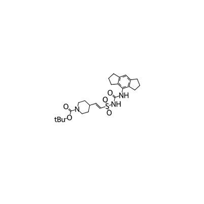 CC(C)(C)OC(=O)N1CCC(C=CS(=O)(=O)NC(=O)Nc2c3c(cc4c2CCC4)CCC3)CC1